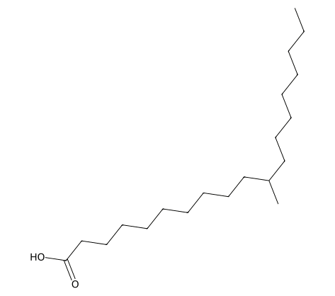 CCCCCCCCC(C)CCCCCCCCCC(=O)O